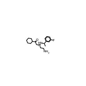 CC(NN(CCN)CC(=O)C1CCCCC1)c1cccc(F)c1